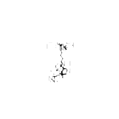 CCn1c(-c2nonc2N)nc2cncc(C(=O)NCCCCCN(C(=O)O)C(C)(C)C)c21